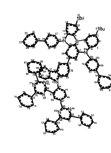 CC(C)(C)c1ccc2c(c1)B1c3cc(C(C)(C)C)ccc3N(c3ccc(-c4ccccc4)cc3)c3cc(-c4ccc5c(c4)c4ccccc4n5-c4ccc(-c5nc(-c6ccccc6)cc(-c6ccccc6)n5)cc4-c4nc(-c5ccccc5)nc(-c5ccccc5)n4)cc(c31)N2c1ccc(-c2ccccc2)cc1